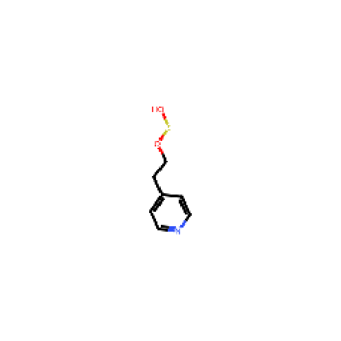 OSOCCc1ccncc1